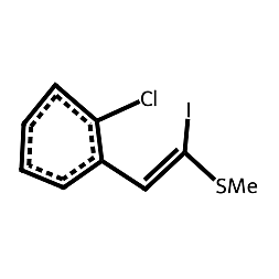 CS/C(I)=C/c1ccccc1Cl